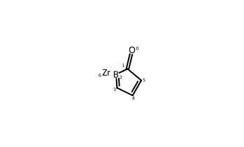 O=C1B=CC=C1.[Zr]